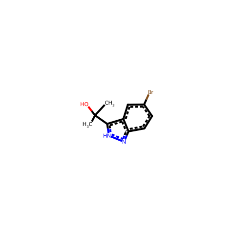 CC(C)(O)c1[nH]nc2ccc(Br)cc12